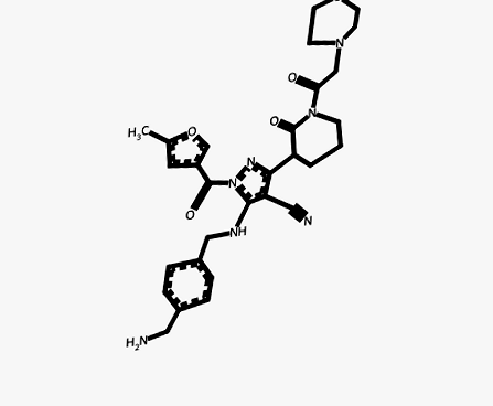 Cc1cc(C(=O)n2nc(C3CCCN(C(=O)CN4CCOCC4)C3=O)c(C#N)c2NCc2ccc(CN)cc2)co1